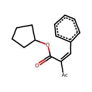 CC(=O)C(=Cc1ccccc1)C(=O)OC1CCCC1